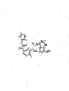 Cc1ccc(C(=O)NCc2ccsc2)cc1C#Cc1cn(C(C)C)c2ncnc(N)c12